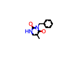 Cc1c[nH]c(=O)n(Cc2ccccc2)c1=O